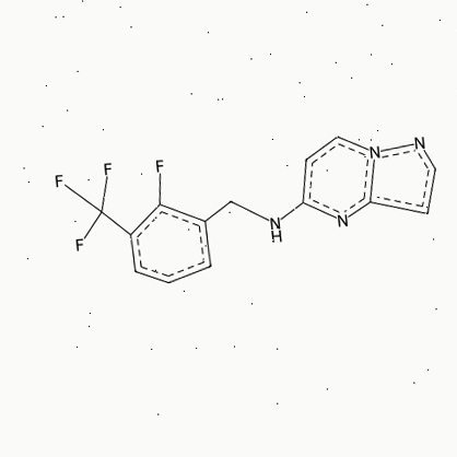 Fc1c(CNc2ccn3nccc3n2)cccc1C(F)(F)F